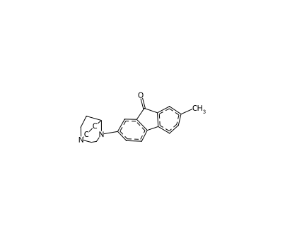 Cc1ccc2c(c1)C(=O)c1cc(N3CCN4CCC3CC4)ccc1-2